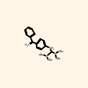 C=C(c1ccccc1)c1ccc([SiH2]C(N(CCCC)CCCC)N(CCCC)CCCC)cc1